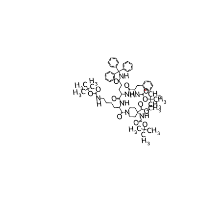 COC(=O)C1(NC(=O)OC(C)(C)C)CCN(C(=O)C(CCCCNC(=O)OC(C)(C)C)NC(=O)C(CCC(=O)NC(c2ccccc2)(c2ccccc2)c2ccccc2)NC(=O)C(Cc2ccccc2)NC(=O)OC(C)(C)C)CC1